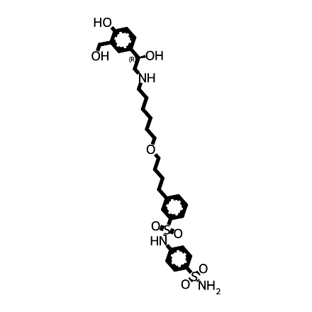 NS(=O)(=O)c1ccc(NS(=O)(=O)c2cccc(CCCCOCCCCCCNC[C@H](O)c3ccc(O)c(CO)c3)c2)cc1